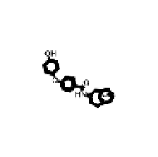 O=C(NC1CCC2CC3CC(C2)C1C3)c1ccc(OC2CCC(O)CC2)cc1